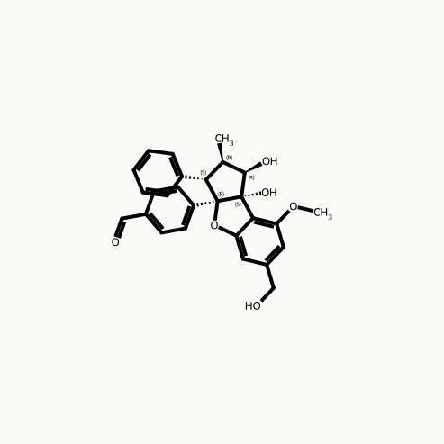 COc1cc(CO)cc2c1[C@]1(O)[C@H](O)[C@H](C)[C@@H](c3ccccc3)[C@]1(c1ccc(C=O)cc1)O2